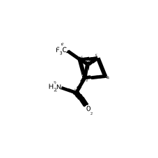 NC(=O)C12CC(C1)C2C(F)(F)F